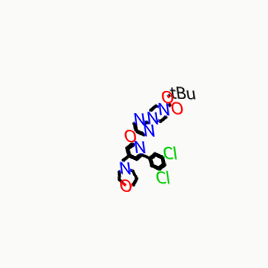 CC(C)(C)OC(=O)N1CCN(c2ncc(Oc3cc(CN4CCCOCC4)cc(-c4cc(Cl)cc(Cl)c4)n3)cn2)CC1